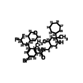 Cc1c(C(=O)NCC2CNC(C)(C3CCCCCC3)CC2C)cc(Br)cc1N(CC(F)F)C1CCOCC1